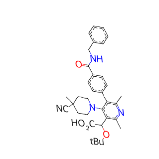 Cc1nc(C)c(C(OC(C)(C)C)C(=O)O)c(N2CCC(C)(C#N)CC2)c1-c1ccc(C(=O)NCc2ccccc2)cc1